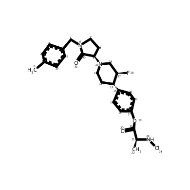 Cc1ccc(CN2CC[C@@H](N3CC[C@@H](c4ccc(OC(=O)[C@H](C)NCl)cc4)[C@H](F)C3)C2=O)cc1